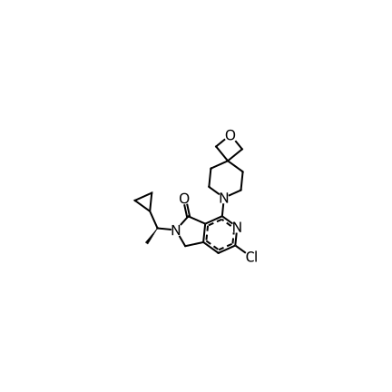 C[C@@H](C1CC1)N1Cc2cc(Cl)nc(N3CCC4(CC3)COC4)c2C1=O